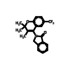 CC1=C(N2Cc3ccccc3C2=O)c2cc(C(F)(F)F)ccc2OC1(C)C